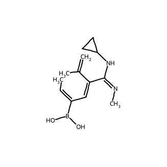 C=C(C)C(=C\C(=C/C)B(O)O)/C(=N\C)NC1CC1